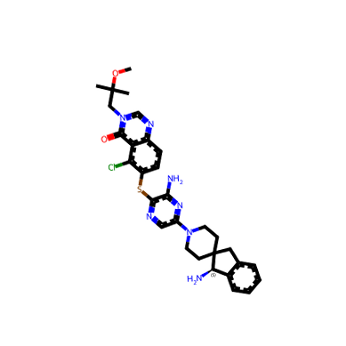 COC(C)(C)Cn1cnc2ccc(Sc3ncc(N4CCC5(CC4)Cc4ccccc4[C@H]5N)nc3N)c(Cl)c2c1=O